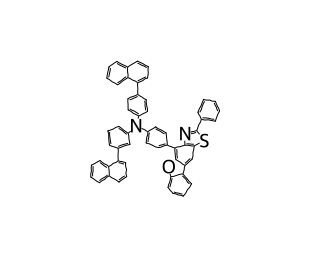 c1ccc(-c2nc3c(-c4ccc(N(c5ccc(-c6cccc7ccccc67)cc5)c5cccc(-c6cccc7ccccc67)c5)cc4)c4oc5ccccc5c4cc3s2)cc1